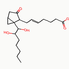 CCCCCC(O)C(O)C12CC1CC(=O)C2CC=CCCCC(=O)O